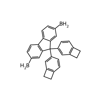 Bc1ccc2c(c1)C(c1ccc3c(c1)CC3)(c1ccc3c(c1)CC3)c1cc(B)ccc1-2